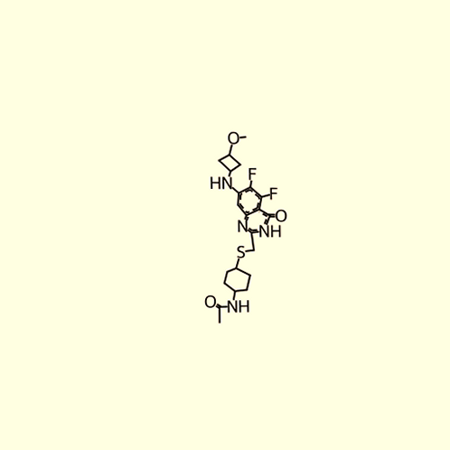 COC1CC(Nc2cc3nc(CSC4CCC(NC(C)=O)CC4)[nH]c(=O)c3c(F)c2F)C1